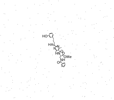 COC(=O)C(CNC(=O)c1cccs1)NC(=O)c1c(C)nc([AsH]CCCc2cccc(O)c2)nc1C